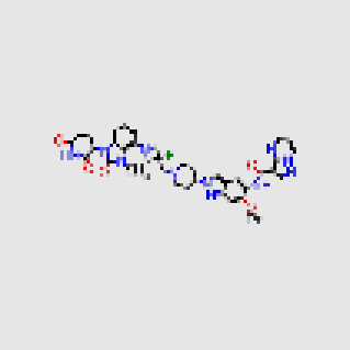 CC(C)Oc1cc2nn(C3CCN(CC4(F)CN(c5cccc6c5n(C)c(=O)n6C5CCC(=O)NC5=O)C4)CC3)cc2cc1NC(=O)c1cnn2cccnc12